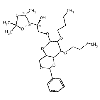 CCCCOC1C(OC[C@H](O)[C@@H]2OC(C)(C)O[C@@H]2C)OC2COC(c3ccccc3)OC2C1OCCCC